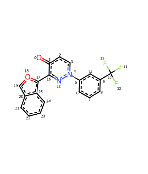 O=c1ccn(-c2cccc(C(F)(F)F)c2)nc1-c1occ2ccccc12